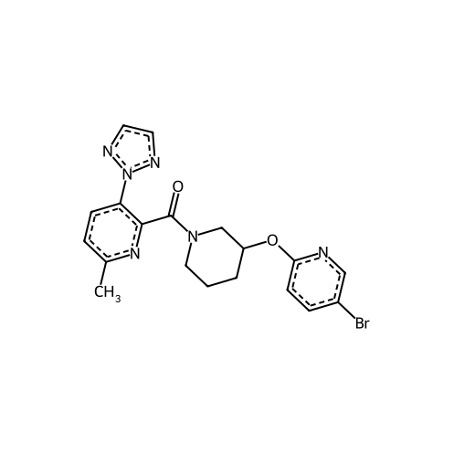 Cc1ccc(-n2nccn2)c(C(=O)N2CCCC(Oc3ccc(Br)cn3)C2)n1